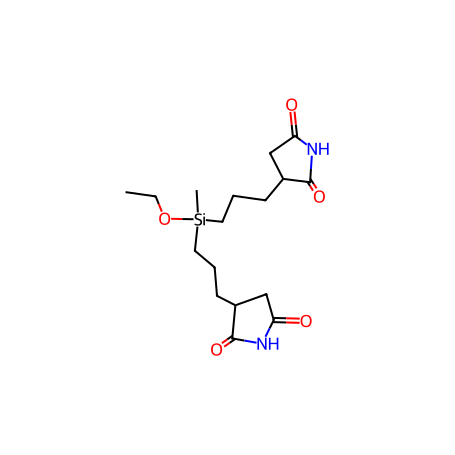 CCO[Si](C)(CCCC1CC(=O)NC1=O)CCCC1CC(=O)NC1=O